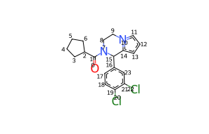 O=C(C1CCCC1)N1CCn2cccc2C1c1ccc(Cl)c(Cl)c1